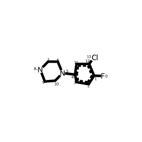 Fc1ccc(N2CC[N]CC2)cc1Cl